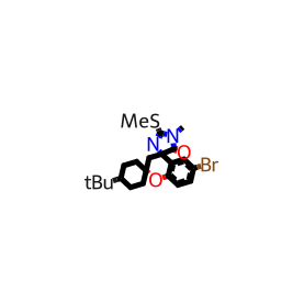 CSC1=NC2(CC3(CCC(C(C)(C)C)CC3)Oc3ccc(Br)cc32)C(=O)N1C